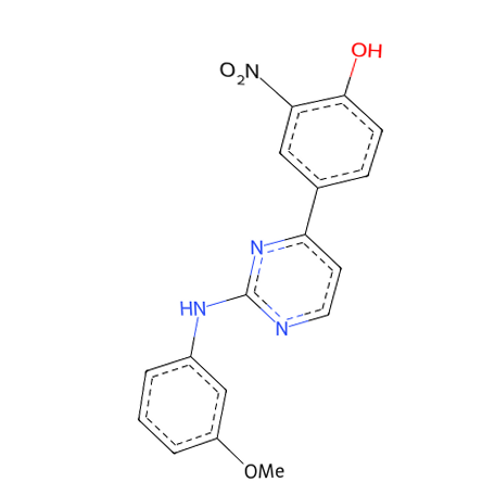 COc1cccc(Nc2nccc(-c3ccc(O)c([N+](=O)[O-])c3)n2)c1